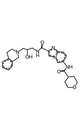 O=C(NCC(O)CN1CCc2ccccc2C1)c1cn2cc(NC(=O)C3CCOCC3)ccc2n1